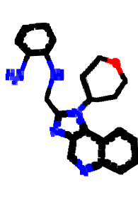 Nc1ccccc1NCc1nc2cnc3ccccc3c2n1C1CCOCC1